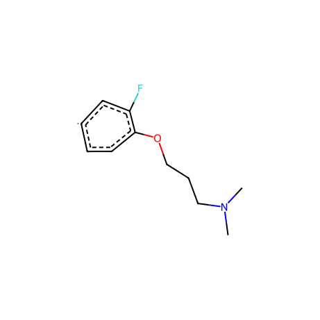 CN(C)CCCOc1cc[c]cc1F